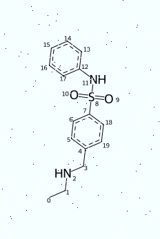 CCNCc1ccc(S(=O)(=O)Nc2ccccc2)cc1